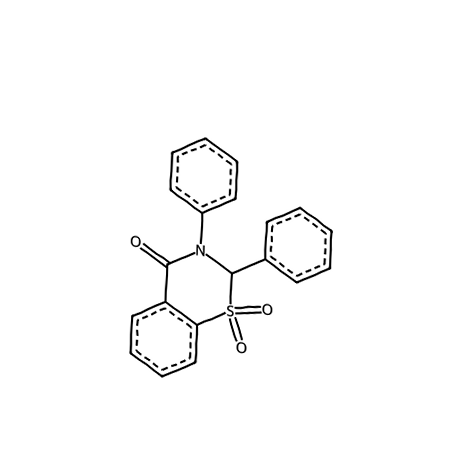 O=C1c2ccccc2S(=O)(=O)C(c2ccccc2)N1c1ccccc1